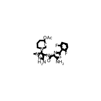 CC(=O)OC1CCCN(c2c(NC(=O)c3nc(-c4c(F)cccc4F)sc3N)c(N)nn2C)CC1